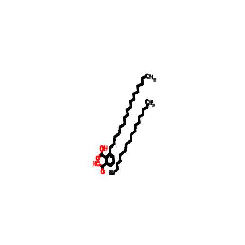 CCCCCCCCCCCCCCCCCCc1cccc(C(=O)O)c1C(=O)O.CCCCCCCCCCCCCCC[CH2][Na]